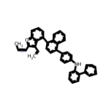 C=Cc1c(/C=C\C)oc2cccc(-c3ccc(-c4ccc(Nc5ccccc5-c5ccccc5)cc4)c4ccccc34)c12